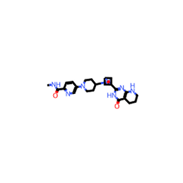 CNC(=O)c1ccc(N2CCC(N3CC4(c5nc6c(c(=O)[nH]5)CCCN6)CC3C4)CC2)cn1